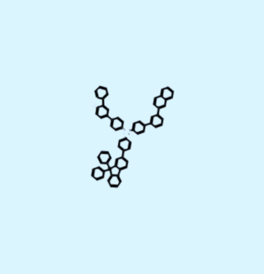 c1ccc(C2(c3ccccc3)c3ccccc3-c3ccc(-c4ccc(N(c5ccc(-c6cccc(-c7ccc8ccccc8c7)c6)cc5)c5ccc(-c6ccc7sc8ccccc8c7c6)cc5)cc4)cc32)cc1